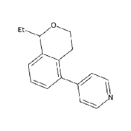 CCC1OCCc2c(-c3ccncc3)cccc21